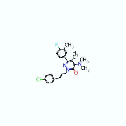 Cc1cc(-c2nn(CC=Cc3ccc(Cl)cc3)c(=O)c(N(C)C)c2C)ccc1F